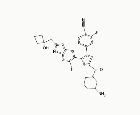 N#Cc1ccc(-c2cc(C(=O)N3CCCC(N)C3)sc2-c2cc3cn(CC4(O)CCC4)nc3cc2F)cc1F